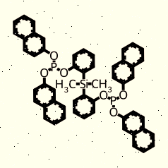 C[Si](C)(c1ccccc1OP(Oc1ccc2ccccc2c1)Oc1ccc2ccccc2c1)c1ccccc1OP(Oc1ccc2ccccc2c1)Oc1ccc2ccccc2c1